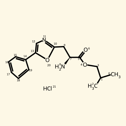 CC(C)COC(=O)[C@@H](N)Cc1ncc(-c2ccccc2)o1.Cl